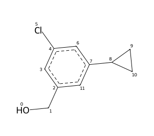 OCc1cc(Cl)cc(C2CC2)c1